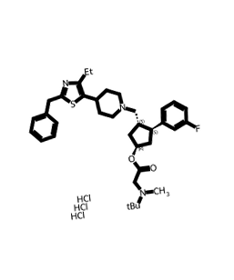 CCc1nc(Cc2ccccc2)sc1C1CCN(C[C@H]2C[C@H](OC(=O)CN(C)C(C)(C)C)C[C@@H]2c2cccc(F)c2)CC1.Cl.Cl.Cl